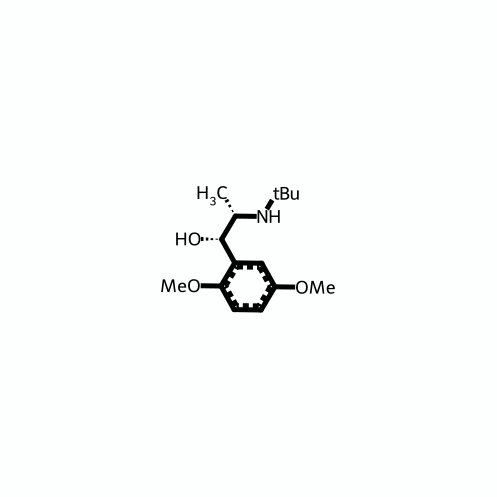 COc1ccc(OC)c([C@H](O)[C@H](C)NC(C)(C)C)c1